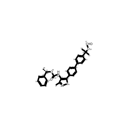 Cc1nsc(-c2ccc(-c3ccc(C(C)(C)OC=O)cc3)cc2)c1NC(=O)O[C@H](C)c1ccccc1